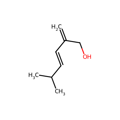 C=C(C=CC(C)C)CO